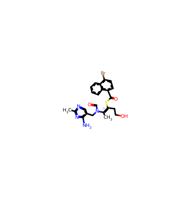 C/C(=C(\CCO)SC(=O)c1ccc(Br)c2ccccc12)N(C=O)Cc1cnc(C)nc1N